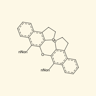 CCCCCCCCCc1c(Oc2c3c(c4ccccc4c2CCCCCCCCC)CCO3)c2c(c3ccccc13)CCO2